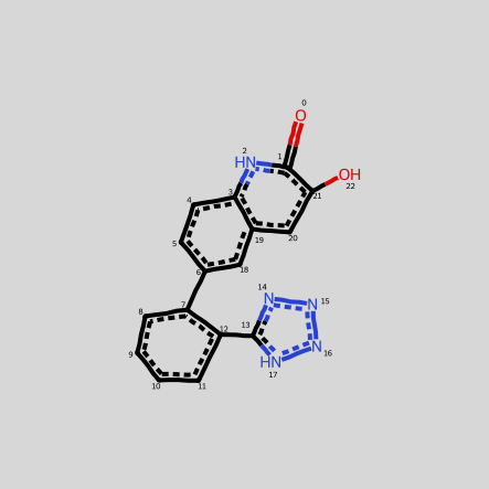 O=c1[nH]c2ccc(-c3ccccc3-c3nnn[nH]3)cc2cc1O